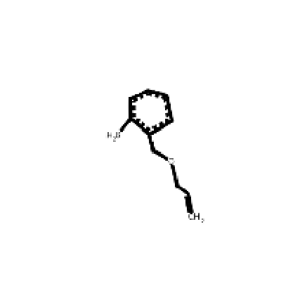 Bc1ccccc1COCC=C